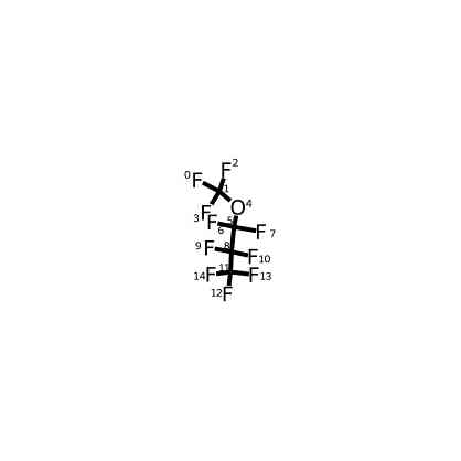 FC(F)(F)OC(F)(F)C(F)(F)C(F)(F)F